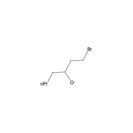 CCCCC([O])CCBr